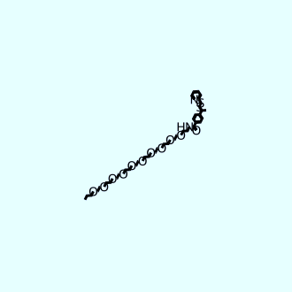 CCCOCCOCCOCCOCCOCCOCCOCCOCCOCCOCCNC(=O)c1ccc(C(C)SSc2ccccn2)cc1